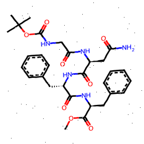 COC(=O)[C@H](Cc1ccccc1)NC(=O)[C@H](Cc1ccccc1)NC(=O)[C@H](CC(N)=O)NC(=O)CNC(=O)OC(C)(C)C